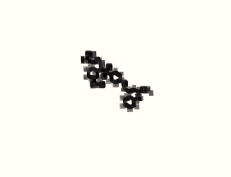 Cc1cc(COc2ccc(S(=O)(=O)N[C@H]3CN(C=O)CC[C@@H]3C(=O)NO)cc2)c2ccccc2n1